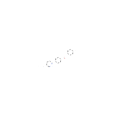 CCCCCCc1ccc(-c2ccc(C(=O)Oc3ccc(CC)cc3F)cc2)nc1